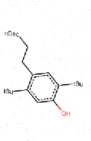 CCCCCCCCCCCCc1cc(C(C)(C)C)c(O)cc1C(C)(C)C